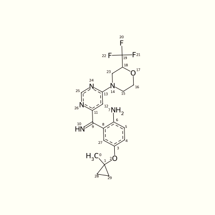 CC1(Oc2ccc(N)c(C(=N)c3cc(N4CCOC(C(F)(F)F)C4)ncn3)c2)CC1